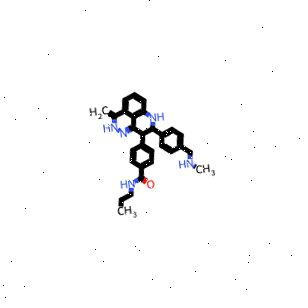 C=C1NN=C2c3c(cccc31)NC(c1ccc(CNC)cc1)C2c1ccc(C(=O)NCCC)cc1